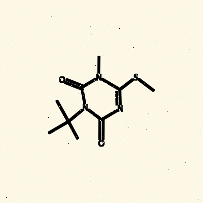 CSc1nc(=O)n(C(C)(C)C)c(=O)n1C